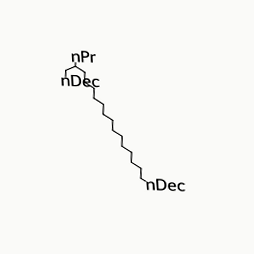 [CH2]CCC(CCCCCCCCCCC)CCCCCCCCCCCCCCCCCCCCCCCC